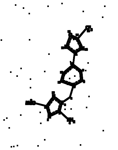 COc1nc(N)n(Cc2ccc(-c3noc(C(F)(F)F)n3)cc2)n1